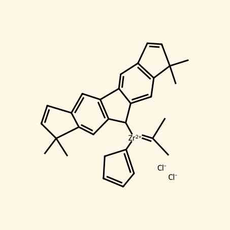 C[C](C)=[Zr+2]([C]1=CC=CC1)[CH]1c2cc3c(cc2-c2cc4c(cc21)C(C)(C)C=C4)C=CC3(C)C.[Cl-].[Cl-]